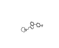 Fc1ccc(-c2cccc3c2CC=C3CCN2CCCCCC2)cc1